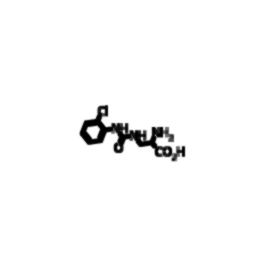 NC(CNC(=O)Nc1ccccc1Cl)C(=O)O